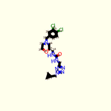 O=C(NCc1nnn(CC2CC2)n1)NC[C@H]1CN(Cc2ccc(Cl)c(Cl)c2)CCO1